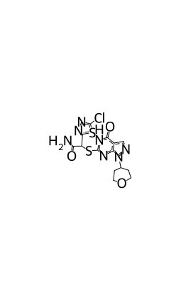 NC(=O)C(Sc1nc2c(cnn2C2CCOCC2)c(=O)[nH]1)c1nnc(Cl)s1